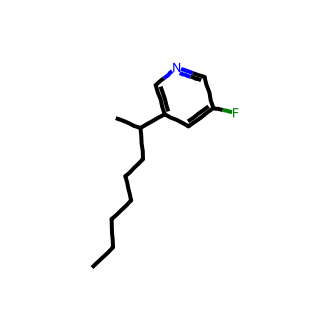 CCCCCCC(C)c1cncc(F)c1